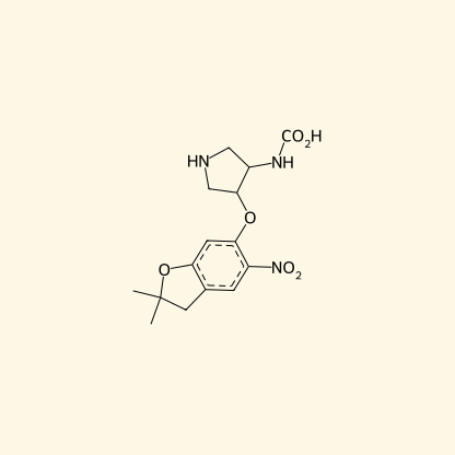 CC1(C)Cc2cc([N+](=O)[O-])c(OC3CNCC3NC(=O)O)cc2O1